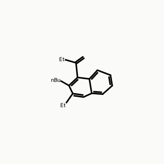 C=C(CC)c1c(CCCC)c(CC)cc2ccccc12